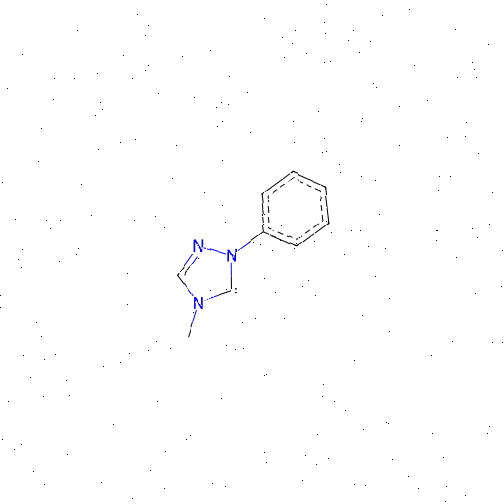 CN1[C]N(c2ccccc2)N=C1